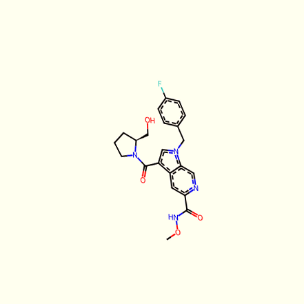 CONC(=O)c1cc2c(C(=O)N3CCC[C@H]3CO)cn(Cc3ccc(F)cc3)c2cn1